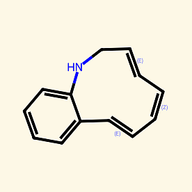 C1=C\C=C\c2ccccc2NC/C=C/1